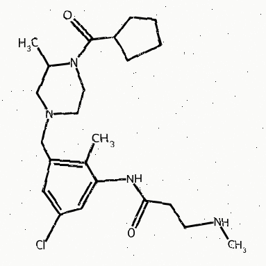 CNCCC(=O)Nc1cc(Cl)cc(CN2CCN(C(=O)C3CCCC3)C(C)C2)c1C